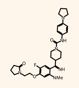 CNc1cc(OCCN2CCCC2=O)c(F)cc1C(=N)C1CCN(C(=O)Nc2ccc(N3CCCC3)cc2)CC1